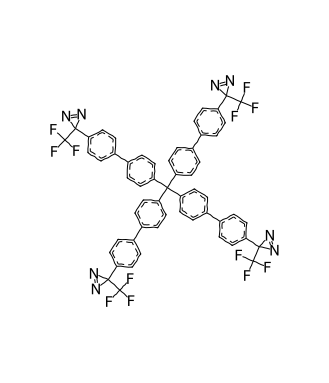 FC(F)(F)C1(c2ccc(-c3ccc(C(c4ccc(-c5ccc(C6(C(F)(F)F)N=N6)cc5)cc4)(c4ccc(-c5ccc(C6(C(F)(F)F)N=N6)cc5)cc4)c4ccc(-c5ccc(C6(C(F)(F)F)N=N6)cc5)cc4)cc3)cc2)N=N1